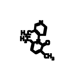 Cc1cnccc1-n1c(C)ccc(C)c1=O